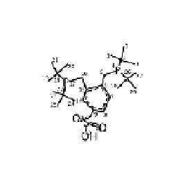 CC(C)(C)P(Cc1ccc(S(=O)(=O)O)cc1CP(C(C)(C)C)C(C)(C)C)C(C)(C)C